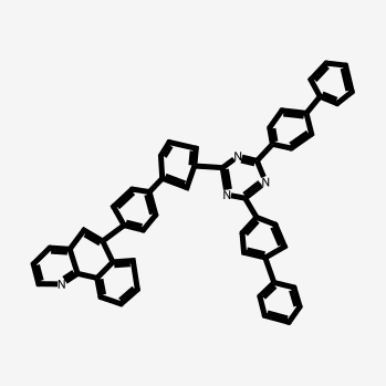 c1ccc(-c2ccc(-c3nc(-c4ccc(-c5ccccc5)cc4)nc(-c4cccc(-c5ccc(-c6cc7cccnc7c7ccccc67)cc5)c4)n3)cc2)cc1